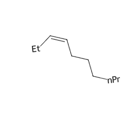 [CH2]C/C=C\CCCCCC